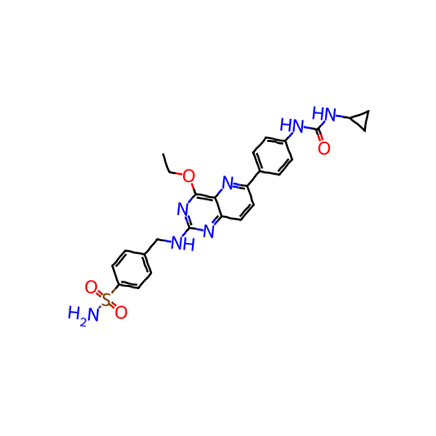 CCOc1nc(NCc2ccc(S(N)(=O)=O)cc2)nc2ccc(-c3ccc(NC(=O)NC4CC4)cc3)nc12